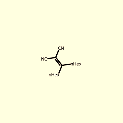 CCCCCCC(CCCCCC)=C(C#N)C#N